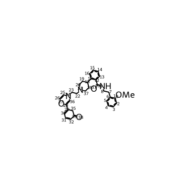 COc1ccccc1CCNC(=O)c1ccccc1C1CCN(CCN2C=COC(C3=CC=CC(=O)C3)=C2)CC1